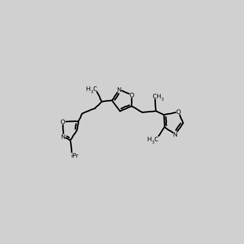 Cc1ncoc1C(C)Cc1cc(C(C)CCc2cc(C(C)C)no2)no1